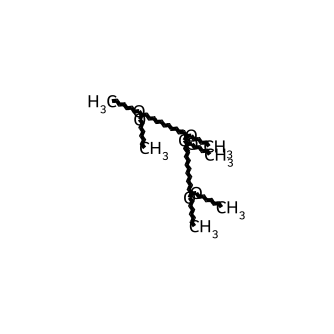 CCCCCCCOC(CCCCCCCCCC=CC(OCCCCC)OC(C=CCCCCCCCCCC(OCCCCCCC)OCCCCCCC)OCCCCC)OCCCCCCC